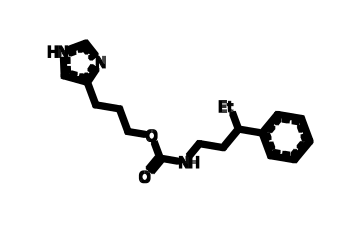 CCC(CCNC(=O)OCCCc1c[nH]cn1)c1ccccc1